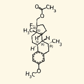 COc1ccc2c(c1)C[C@@H](C)[C@@H]1[C@@H]2CC[C@@]2(C)[C@@H]1CC[C@]2(F)COC(C)=O